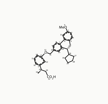 COc1ccc(F)c(-c2ccc(COc3cccc([C@H](C)CC(=O)O)c3)cc2CC2CCCC2)c1